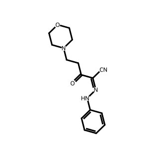 N#C/C(=N/Nc1ccccc1)C(=O)CCN1CCOCC1